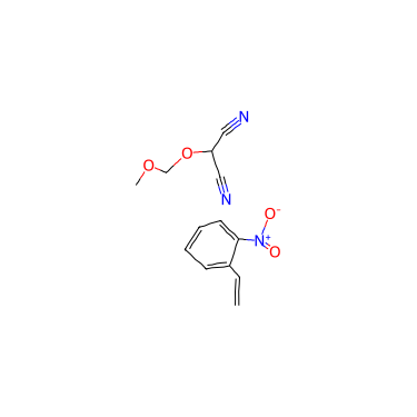 C=Cc1ccccc1[N+](=O)[O-].COCOC(C#N)C#N